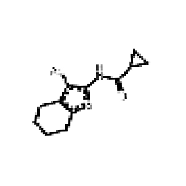 CC(=O)c1c(NC(=O)C2CC2)sc2c1CCCC2